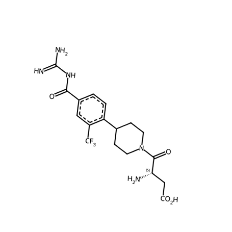 N=C(N)NC(=O)c1ccc(C2CCN(C(=O)[C@@H](N)CC(=O)O)CC2)c(C(F)(F)F)c1